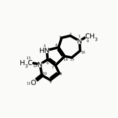 CN1CCc2[nH]c3c(ccc(=O)n3C)c2CC1